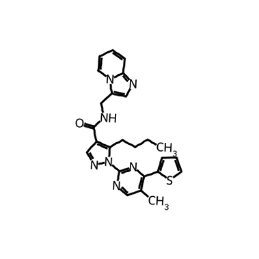 CCCCc1c(C(=O)NCc2cnc3ccccn23)cnn1-c1ncc(C)c(-c2cccs2)n1